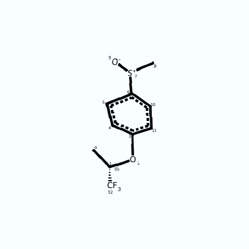 C[C@H](Oc1ccc([S+](C)[O-])cc1)C(F)(F)F